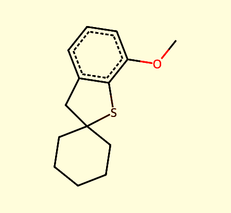 COc1cccc2c1SC1(CCCCC1)C2